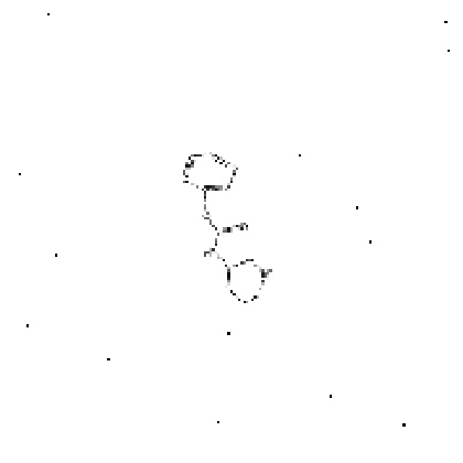 O=C(NC1CCCNC1)Oc1ccccc1